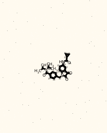 CC(C)N(C(=O)c1ccc(CN2C(=O)C(=O)c3cc(NC(=O)C4CC4)ccc32)cc1)C(C)C